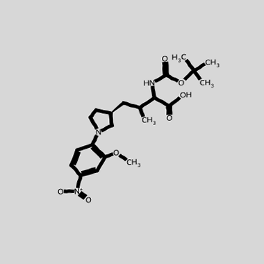 COc1cc([N+](=O)[O-])ccc1N1CC[C@@H](CC(C)C(NC(=O)OC(C)(C)C)C(=O)O)C1